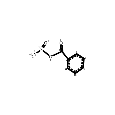 NS(=O)OC(=O)c1ccccc1